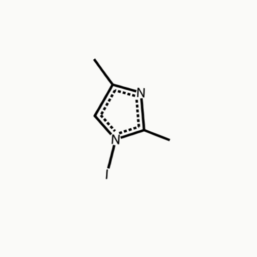 Cc1cn(I)c(C)n1